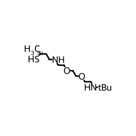 C[C@H](S)CCNCCOCCOCCNC(C)(C)C